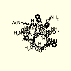 CC(=O)NCCCC[C@H](NC(=O)C(C)(CCCCN)NC(=O)[C@H](Cc1ccc2ccccc2c1)NC(=O)[C@H](Cc1ccc(OCCN)cc1)NC(=O)[C@H]1NC(=O)[C@H](CCCNC(N)=O)NC(=O)[C@H](Cc2c[nH]c3c(C)cccc23)NC(=O)[C@H]([C@@H](C)O)NC(=O)[C@H](CC(N)=O)NC(=O)[C@@H](NC(C)=O)C(C)(C)SSC1(C)C)C(=O)N[C@@H](CC(N)=O)C(=O)N[C@H](Cc1ccc(O)cc1)C(N)=O